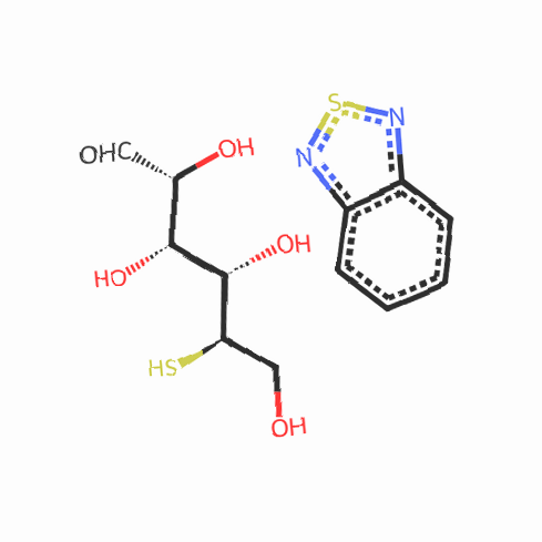 O=C[C@H](O)[C@@H](O)[C@H](O)[C@H](S)CO.c1ccc2nsnc2c1